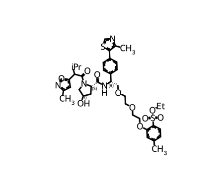 CCOS(=O)(=O)c1ccc(C)cc1OCCOCCOC[C@H](NC(=O)[C@@H]1C[C@@H](O)CN1C(=O)C(c1cc(C)no1)C(C)C)c1ccc(-c2scnc2C)cc1